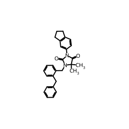 CC1(C)C(=O)N(c2ccc3c(c2)CCC3)C(=O)N1Cc1ccccc1Cc1ccccc1